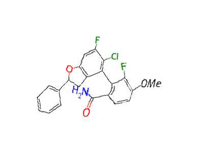 COc1ccc(C(N)=O)c(-c2c(Cl)c(F)cc3c2CC(c2ccccc2)O3)c1F